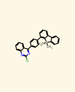 C[Si]1(C)c2ccccc2-c2cccc(-c3ccc(-c4nc(Cl)nc5ccccc45)cc3)c21